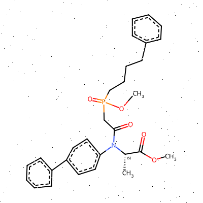 COC(=O)[C@H](C)N(C(=O)CP(=O)(CCCCc1ccccc1)OC)c1ccc(-c2ccccc2)cc1